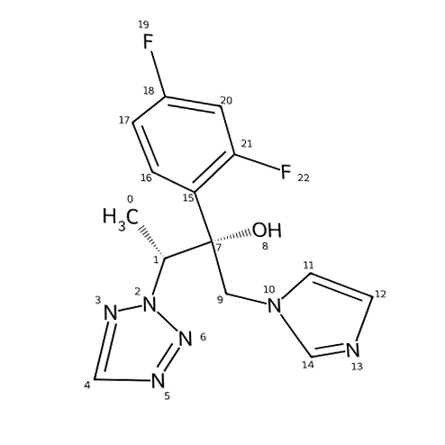 C[C@@H](n1ncnn1)[C@](O)(Cn1ccnc1)c1ccc(F)cc1F